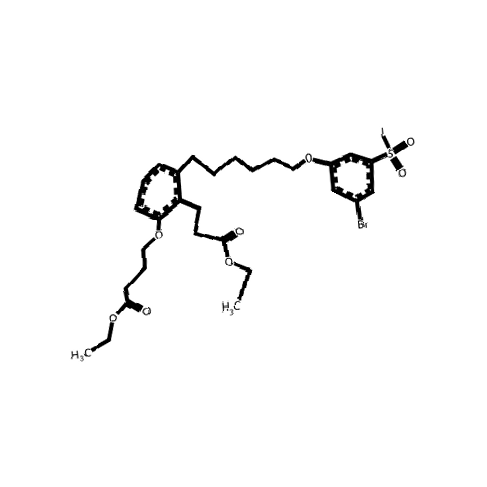 CCOC(=O)CCCOc1cccc(CCCCCCOc2cc(Br)cc(S(=O)(=O)I)c2)c1CCC(=O)OCC